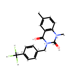 Cc1ccc2c(c1)c(=O)n(Cc1ccc(C(F)(F)F)cc1)c(=O)n2C